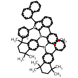 Cc1cc2c3c(c1)N(c1cc4c(cc1-c1ccccc1)C(C)(C)CCC4(C)C)c1cc4c(cc1B3c1c3c-2cccc3c(-c2cccc3ccccc23)n1-c1ccccc1)C(C)(C)CCC4(C)C